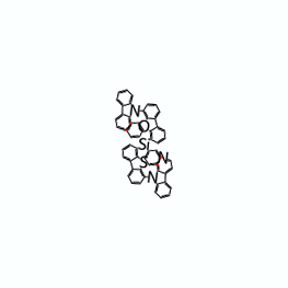 c1ccc([Si](c2ccccc2)(c2cccc3c2oc2c(-n4c5ccccc5c5ccccc54)cccc23)c2cccc3c2sc2c(-n4c5ccccc5c5ccncc54)cccc23)cc1